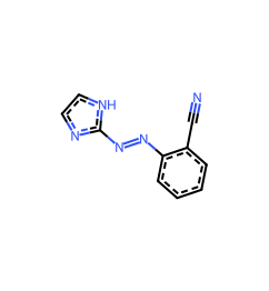 N#Cc1ccccc1N=Nc1ncc[nH]1